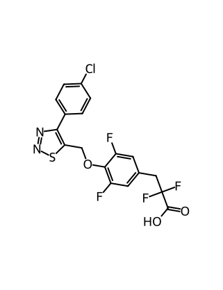 O=C(O)C(F)(F)Cc1cc(F)c(OCc2snnc2-c2ccc(Cl)cc2)c(F)c1